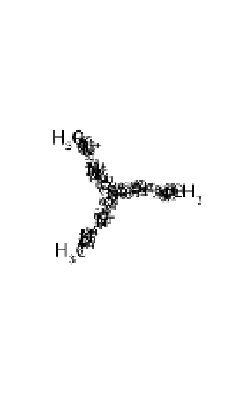 Cc1cc[n+](CCCC[n+]2ccc(-c3ccc(N(c4ccc(-c5cc[n+](CCCC[n+]6ccc(C)cc6)cc5)cc4)c4ccc(-c5cc[n+](CCCC[n+]6ccc(C)cc6)cc5)cc4)cc3)cc2)cc1